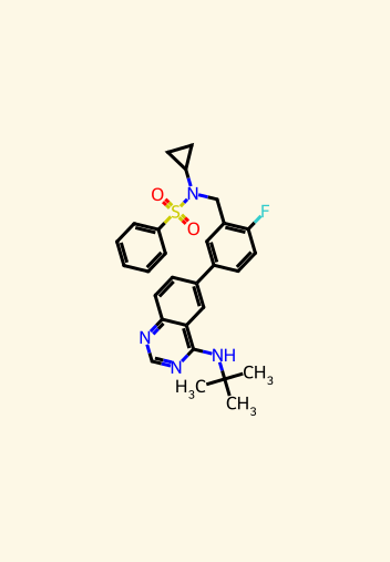 CC(C)(C)Nc1ncnc2ccc(-c3ccc(F)c(CN(C4CC4)S(=O)(=O)c4ccccc4)c3)cc12